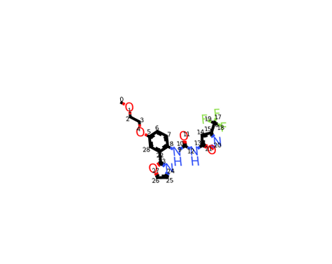 COCCOc1ccc(NC(=O)Nc2cc(C(F)(F)F)no2)c(-c2ncco2)c1